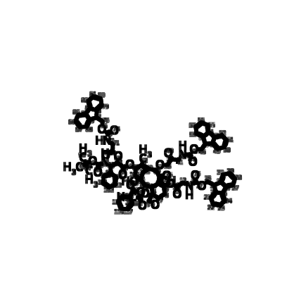 CC(=O)O[C@@]12COC1C[C@H](OC(=O)CNC(=O)OCC1c3ccccc3-c3ccccc31)C1(C)C(=O)[C@H](OCC(=O)CNC(=O)OCC3c4ccccc4-c4ccccc43)C3=C(C)[C@@H](OC(=O)[C@H](OC(=O)CNC(=O)OCC4c5ccccc5-c5ccccc54)[C@@H](NC(=O)OC(C)(C)C)c4ccccc4)C[C@](O)(C3)[C@@H](OC(=O)c3ccccc3)C12